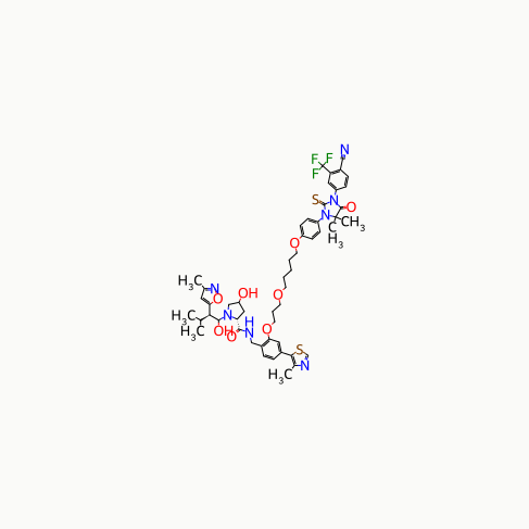 Cc1cc([C@H](C(C)C)C(O)N2CC(O)C[C@@H]2C(=O)NCc2ccc(-c3scnc3C)cc2OCCCOCCCCCOc2ccc(N3C(=S)N(c4ccc(C#N)c(C(F)(F)F)c4)C(=O)C3(C)C)cc2)on1